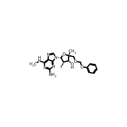 CNc1nc(N)nc2c1ncn2[C@@H]1O[C@](C)(COCOc2ccccc2)[C@@H](O)[C@H]1F